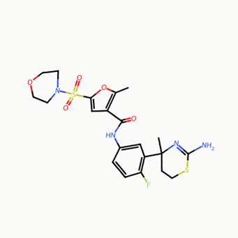 Cc1oc(S(=O)(=O)N2CCOCC2)cc1C(=O)Nc1ccc(F)c(C2(C)CCSC(N)=N2)c1